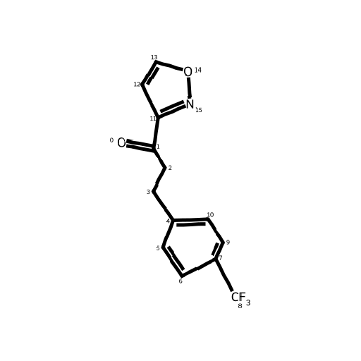 O=C(CCc1ccc(C(F)(F)F)cc1)c1ccon1